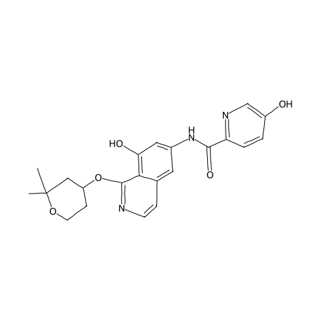 CC1(C)CC(Oc2nccc3cc(NC(=O)c4ccc(O)cn4)cc(O)c23)CCO1